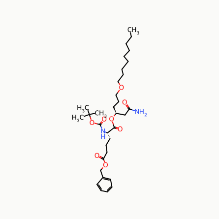 CCCCCCCCCOCCC[C@@H](CC(N)=O)OC(=O)[C@H](CCCC(=O)OCc1ccccc1)NC(=O)OC(C)(C)C